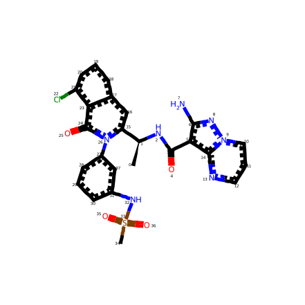 C[C@H](NC(=O)c1c(N)nn2cccnc12)c1cc2cccc(Cl)c2c(=O)n1-c1cccc(NS(C)(=O)=O)c1